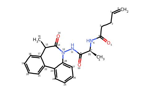 C=CCCC(=O)N[C@@H](C)C(=O)NN1C(=O)C(C)c2ccccc2-c2ccccc21